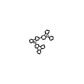 C1=CC2C(C=C1c1ccc3c4ccccc4n(-c4ccc5c6ccccc6c6ccccc6c5c4)c3c1)c1ccccc1N2c1ccccc1